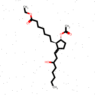 CCCCCC(O)CC=C1CC[C@@H](OC(C)=O)[C@@H]1CCCCCCC(=O)OCC